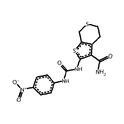 NC(=O)c1c(NC(=O)Nc2ccc([N+](=O)[O-])cc2)sc2c1CCSC2